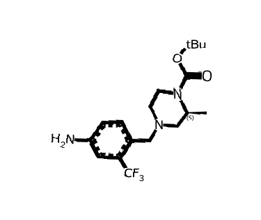 C[C@H]1CN(Cc2ccc(N)cc2C(F)(F)F)CCN1C(=O)OC(C)(C)C